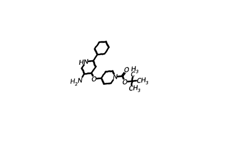 CC(C)(C)OC(=O)N1CCC(OC2CC(C3CCCCC3)NCC2N)CC1